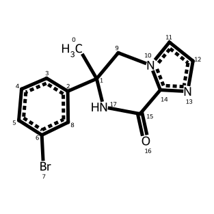 CC1(c2cccc(Br)c2)Cn2ccnc2C(=O)N1